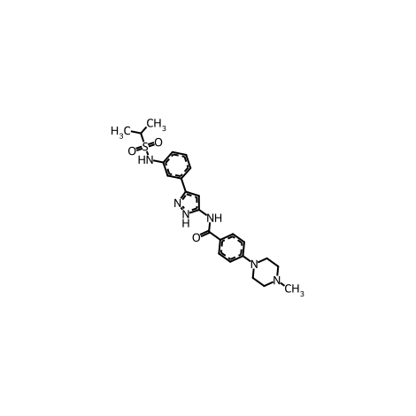 CC(C)S(=O)(=O)Nc1cccc(-c2cc(NC(=O)c3ccc(N4CCN(C)CC4)cc3)[nH]n2)c1